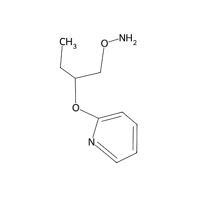 CCC(CON)Oc1ccccn1